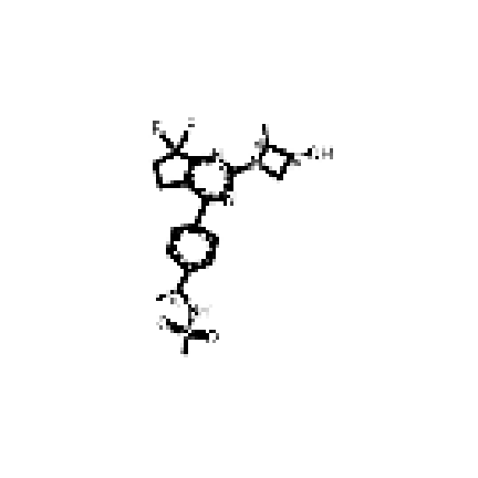 C[C@H](NS(C)(=O)=O)c1ccc(-c2nc(N3C[C@@H](O)[C@@H]3C)nc3c2CCC3(F)F)cc1